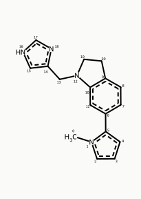 Cn1cccc1-c1ccc2c(c1)N(Cc1c[nH]cn1)CC2